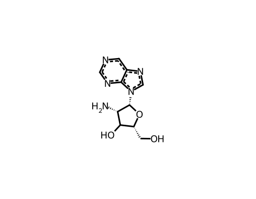 N[C@H]1C(O)[C@@H](CO)O[C@H]1n1cnc2cncnc21